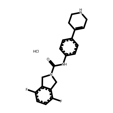 Cl.O=C(Nc1ccc(C2=CCNCC2)cc1)N1Cc2c(F)ccc(F)c2C1